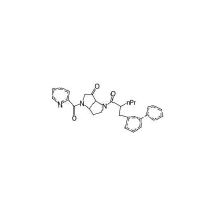 CCCC(Cc1cccc(-c2ccccc2)c1)C(=O)N1CCC2C1C(=O)CN2C(=O)c1ccccn1